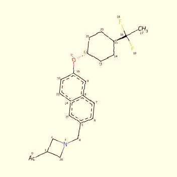 CC(=O)C1CN(Cc2ccc3cc(O[C@H]4CC[C@H](C(C)(F)F)CC4)ccc3c2)C1